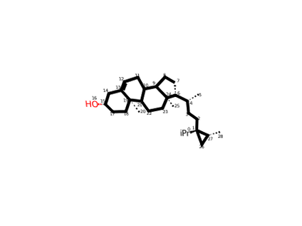 CC(C)[C@]1(CC[C@@H](C)[C@H]2CCC3C4CC=C5C[C@@H](O)CC[C@]5(C)C4CC[C@@]32C)C[C@H]1C